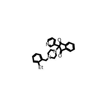 CCc1ccccc1CN1CCN(C2(c3cccnc3)C(=O)c3ccccc3C2=O)CC1